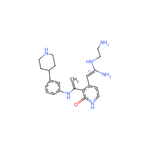 C=C(Nc1cccc(C2CCNCC2)c1)c1c(/C=C(\N)NCCN)cc[nH]c1=O